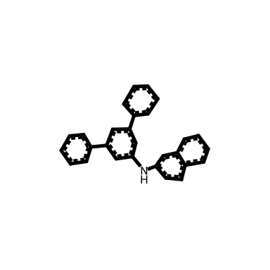 c1ccc(-c2cc(Nc3ccc4ccccc4c3)cc(-c3ccccc3)c2)cc1